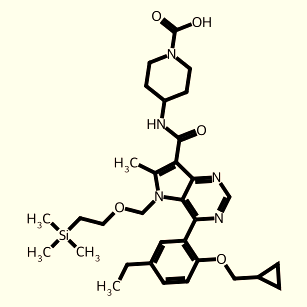 CCc1ccc(OCC2CC2)c(-c2ncnc3c(C(=O)NC4CCN(C(=O)O)CC4)c(C)n(COCC[Si](C)(C)C)c23)c1